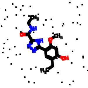 CCNC(=O)c1nnc(-c2cc(CC)c(O)cc2OC)[nH]1